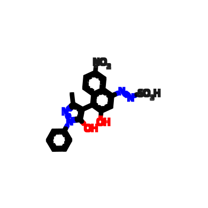 Cc1nn(-c2ccccc2)c(O)c1-c1c(O)cc(N=NS(=O)(=O)O)c2cc([N+](=O)[O-])ccc12